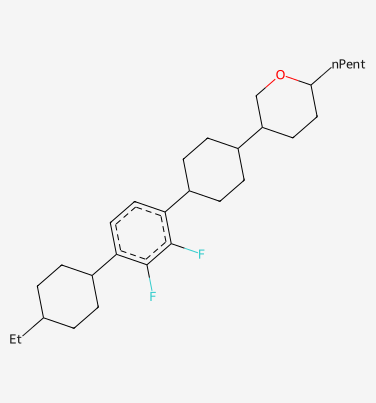 CCCCCC1CCC(C2CCC(c3ccc(C4CCC(CC)CC4)c(F)c3F)CC2)CO1